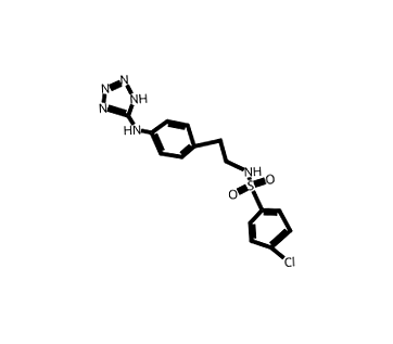 O=S(=O)(NCCc1ccc(Nc2nnn[nH]2)cc1)c1ccc(Cl)cc1